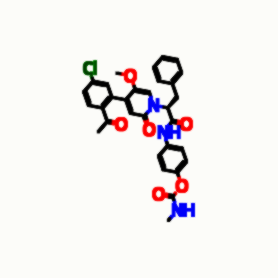 CNC(=O)Oc1ccc(NC(=O)[C@H](Cc2ccccc2)n2cc(OC)c(-c3cc(Cl)ccc3C(C)=O)cc2=O)cc1